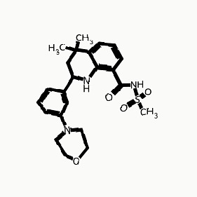 CC1(C)CC(c2cccc(N3CCOCC3)c2)Nc2c(C(=O)NS(C)(=O)=O)cccc21